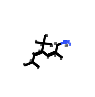 C/C(=C/C(=C\C(C)C)C(C)(C)C)CN